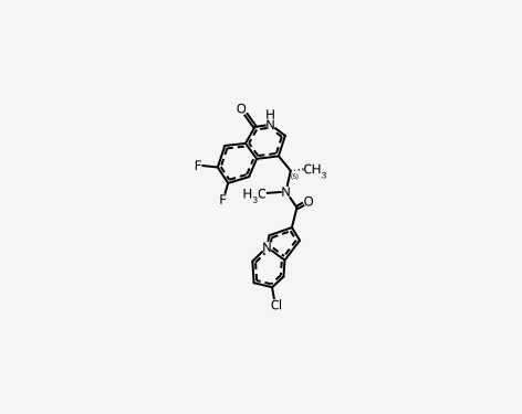 C[C@@H](c1c[nH]c(=O)c2cc(F)c(F)cc12)N(C)C(=O)c1cc2cc(Cl)ccn2c1